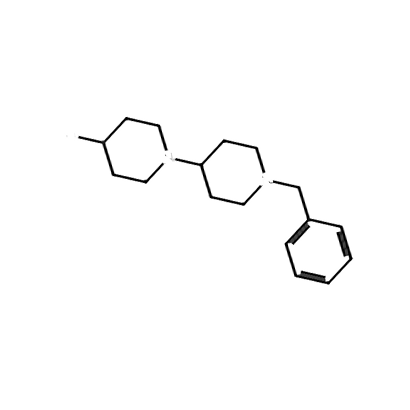 OC1CCN(C2CCN(Cc3ccccc3)CC2)CC1